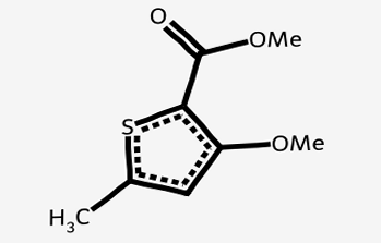 COC(=O)c1sc(C)cc1OC